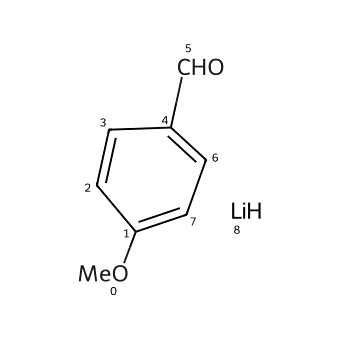 COc1ccc(C=O)cc1.[LiH]